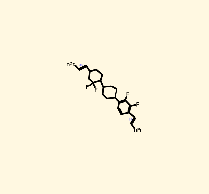 CCC/C=C/c1ccc(C2CCC(C3CCC(/C=C/CCC)CC3(F)F)CC2)c(F)c1F